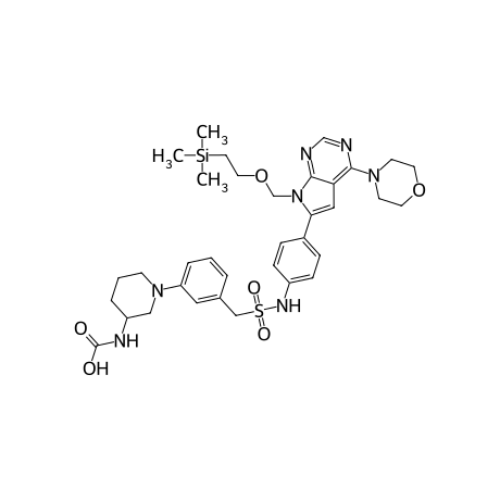 C[Si](C)(C)CCOCn1c(-c2ccc(NS(=O)(=O)Cc3cccc(N4CCCC(NC(=O)O)C4)c3)cc2)cc2c(N3CCOCC3)ncnc21